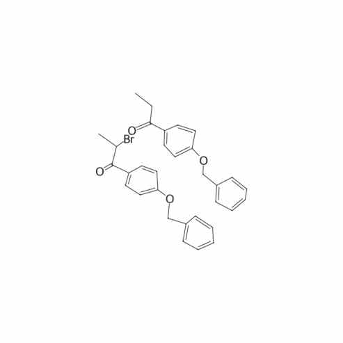 CC(Br)C(=O)c1ccc(OCc2ccccc2)cc1.CCC(=O)c1ccc(OCc2ccccc2)cc1